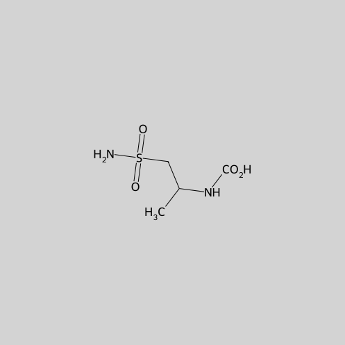 CC(CS(N)(=O)=O)NC(=O)O